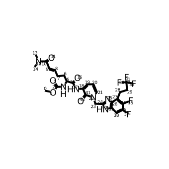 COC(=O)NC(CCC=CC(=O)N(C)C)C(=O)Nc1cccn(Cc2nc3c(CCC(F)(F)F)c(F)c(F)cc3[nH]2)c1=O